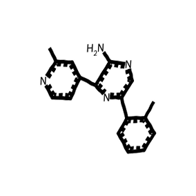 Cc1cc(-c2nc(-c3ccccc3C)cnc2N)ccn1